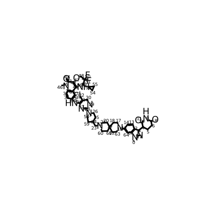 Cn1nc(C2CCC(=O)NC2=O)c2ccc(N3CCC4(CCN(CC5CCN(c6ncc(Cl)c(Nc7ccc8c(c7)c7c(c(=O)n8C)OCC(F)(F)[C@H](C8CC8)N7)n6)CC5)CC4)CC3)cc21